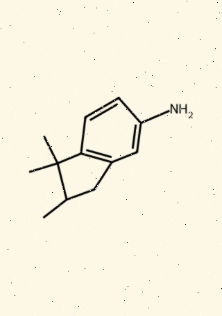 CC1Cc2cc(N)ccc2C1(C)C